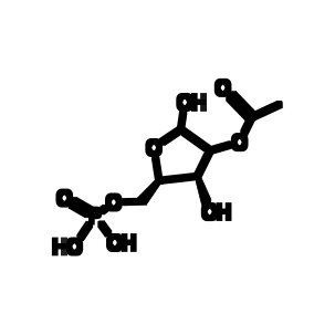 CC(=O)OC1C(O)O[C@H](COP(=O)(O)O)[C@@H]1O